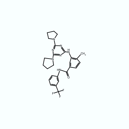 Cc1ccc(C(=O)Nc2cccc(C(F)(F)F)c2)cc1Nc1nc(N2CCCC2)nc(N2CCCC2)n1